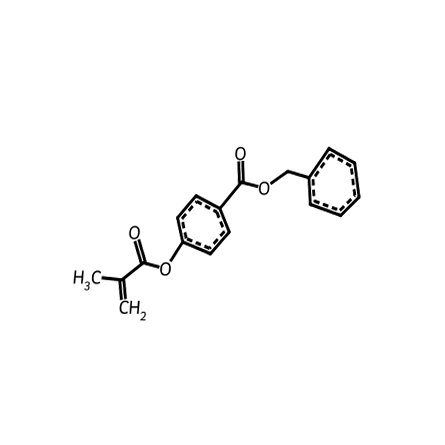 C=C(C)C(=O)Oc1ccc(C(=O)OCc2ccccc2)cc1